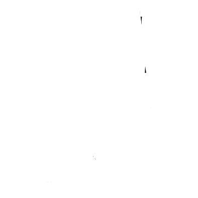 CC[C@H]1CC[C@@H](Oc2ccc3ccc(CN4CCC(C(=O)O)CC4)cc3c2C(F)(F)F)CC1